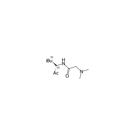 CC[C@H](C)[C@H](NC(=O)CN(C)C)C(C)=O